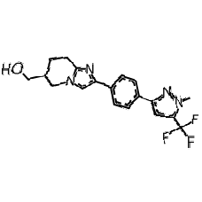 Cn1nc(-c2ccc(-c3cn4c(n3)CCC(CO)C4)cc2)cc1C(F)(F)F